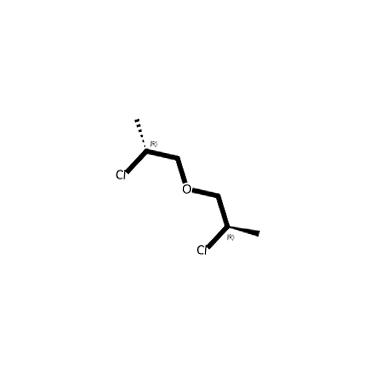 C[C@@H](Cl)COC[C@@H](C)Cl